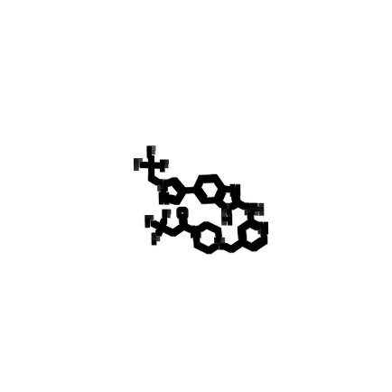 O=C(CC(F)(F)F)N1CCN(Cc2ccnc(Nc3nc4ccc(-c5cnn(CC(F)(F)F)c5)cc4[nH]3)c2)CC1